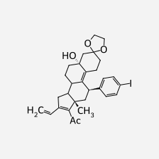 C=CC1=C(C(C)=O)[C@@]2(C)C[C@H](c3ccc(I)cc3)C3=C4CCC5(C[C@]4(O)CCC3C2C1)OCCO5